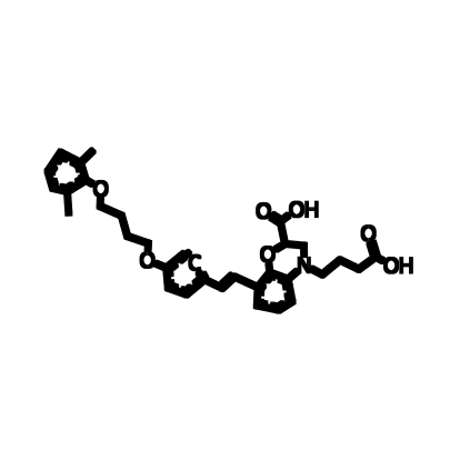 Cc1cccc(C)c1OCCCCOc1ccc(C=Cc2cccc3c2OC(C(=O)O)CN3CCCC(=O)O)cc1